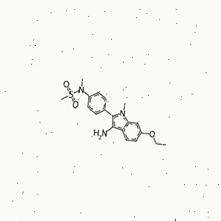 CCOc1ccc2c(N)c(-c3ccc(N(C)S(C)(=O)=O)cc3)n(C)c2c1